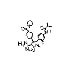 C=C(C)C(=O)Nc1ccc(-c2c(C3=CC[C@H](C(=O)N4CCCC4)CC3)c3c(N)ncnc3n2C)c(F)c1